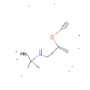 C#COC(=C)CNC(C)(C)CCCC